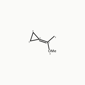 COC(C)=C1CC1